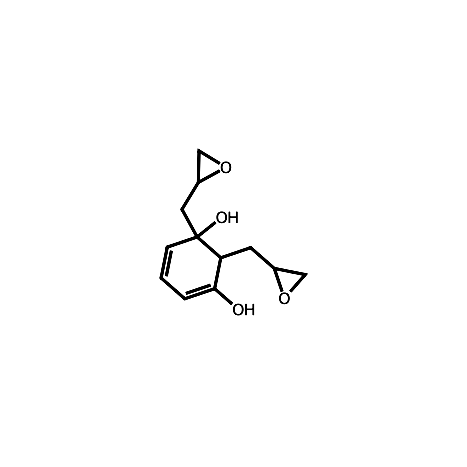 OC1=CC=CC(O)(CC2CO2)C1CC1CO1